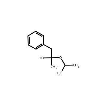 [CH2]C(O)(Cc1ccccc1)OC(C)C